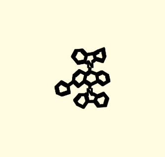 C1=Cc2c(c3ccccc3n2-c2c3ccccc3c(-n3c4ccccc4c4ccccc43)c3ccc(-c4ccccc4)cc23)CC1